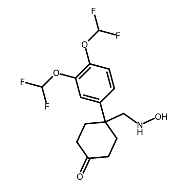 O=C1CCC(CNO)(c2ccc(OC(F)F)c(OC(F)F)c2)CC1